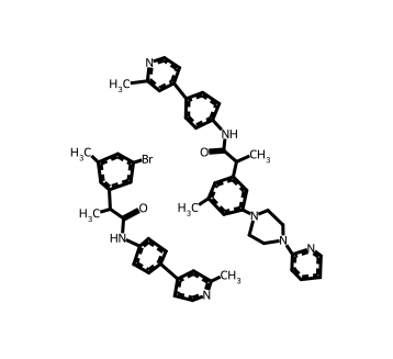 Cc1cc(Br)cc(C(C)C(=O)Nc2ccc(-c3ccnc(C)c3)cc2)c1.Cc1cc(C(C)C(=O)Nc2ccc(-c3ccnc(C)c3)cc2)cc(N2CCN(c3ccccn3)CC2)c1